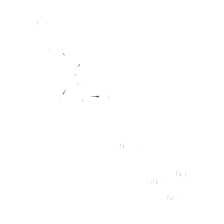 C[C@]12CCC(O)CC1CC[C@@H]1[C@H]2CC[C@]2(C)C(CC/C=N/OCCNC(=N)N)CC[C@@H]12